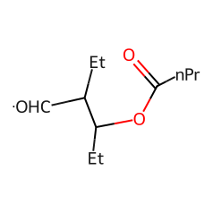 CCCC(=O)OC(CC)C([C]=O)CC